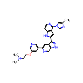 Cc1cn(-c2nccc3[nH]c(-c4n[nH]c5cnc(-c6cncc(OCCN(C)C)c6)cc45)cc23)cn1